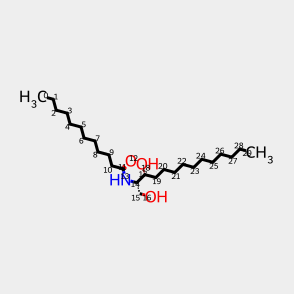 CCCCCCCCCCCC(=O)N[C@@H](CO)[C@H](O)CCCCCCCCCCC